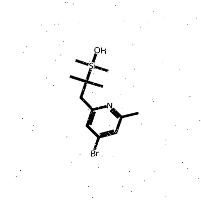 Cc1cc(Br)cc(CC(C)(C)[Si](C)(C)O)n1